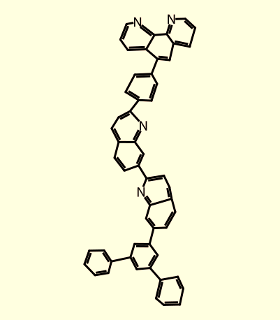 c1ccc(-c2cc(-c3ccccc3)cc(-c3ccc4ccc(-c5ccc6ccc(-c7ccc(-c8cc9cccnc9c9ncccc89)cc7)nc6c5)nc4c3)c2)cc1